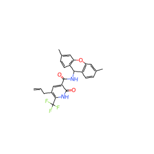 C=CCc1cc(C(=O)NC2c3ccc(C)cc3Oc3cc(C)ccc32)c(=O)[nH]c1C(F)(F)F